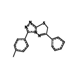 Cc1ccc(-c2nnc3n2N=C(c2ccccc2)CS3)cc1